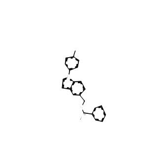 C[C@@H](NCc1ccc2c(ccn2-c2ccc(C(F)(F)F)cc2)c1)c1ccccc1